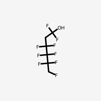 OC(F)(F)CC(F)(F)C(F)(F)C(F)(F)CF